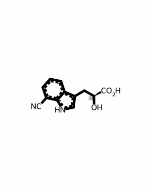 N#Cc1cccc2c(C[C@H](O)C(=O)O)c[nH]c12